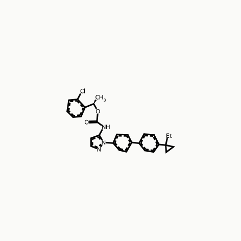 CCC1(c2ccc(-c3ccc(-n4nccc4NC(=O)O[C@H](C)c4ccccc4Cl)cc3)cc2)CC1